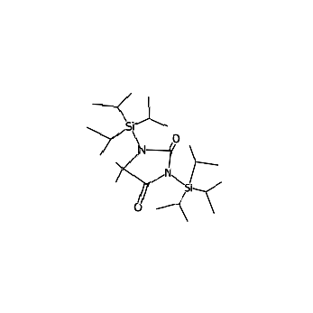 CC(C)[Si](C(C)C)(C(C)C)N1C(=O)N([Si](C(C)C)(C(C)C)C(C)C)C(C)(C)C1=O